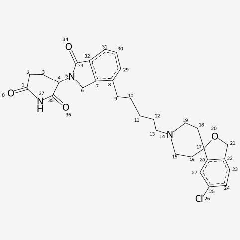 O=C1CCC(N2Cc3c(CCCCCN4CCC5(CC4)OCc4ccc(Cl)cc45)cccc3C2=O)C(=O)N1